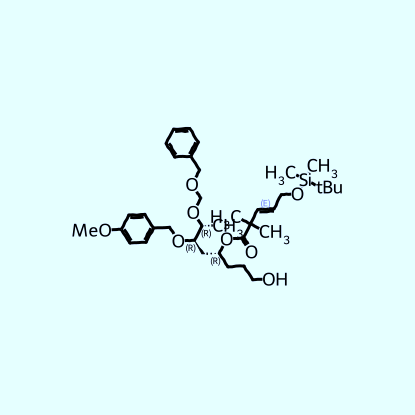 COc1ccc(CO[C@H](C[C@@H](CCCO)OC(=O)C(C)(C)/C=C/CO[Si](C)(C)C(C)(C)C)[C@@H](C)OCOCc2ccccc2)cc1